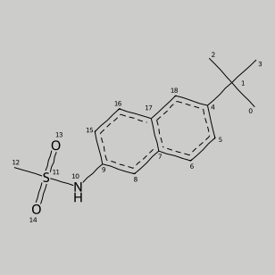 CC(C)(C)c1ccc2cc(NS(C)(=O)=O)ccc2c1